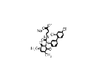 CC1=CN(C)C(=O)C(N(C(=O)NCCC(=O)[O-])c2cccc(-c3ccc(Cl)cc3Cl)c2)C1=O.[Na+]